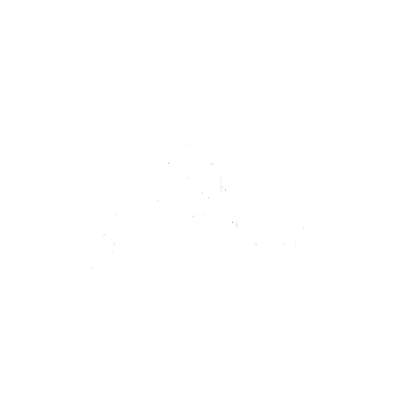 CC(C)(C)c1cc(NC(=O)C2(S(=O)(=O)c3ccc(C(F)(F)F)cc3)CCC2)no1